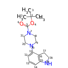 CC(C)(C)OC(=O)N1CCN(c2cccc3c2CCN3)CC1